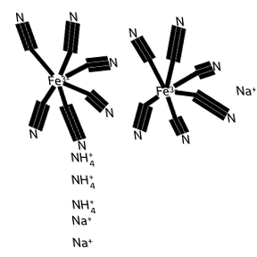 N#[C][Fe-3]([C]#N)([C]#N)([C]#N)([C]#N)[C]#N.N#[C][Fe-3]([C]#N)([C]#N)([C]#N)([C]#N)[C]#N.[NH4+].[NH4+].[NH4+].[Na+].[Na+].[Na+]